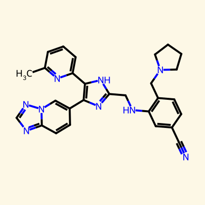 Cc1cccc(-c2[nH]c(CNc3cc(C#N)ccc3CN3CCCC3)nc2-c2ccc3ncnn3c2)n1